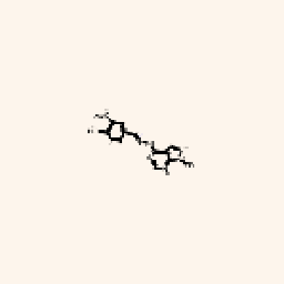 COc1cc(/C=N/Nc2ncnc3c2cnn3C(C)C)ccc1O